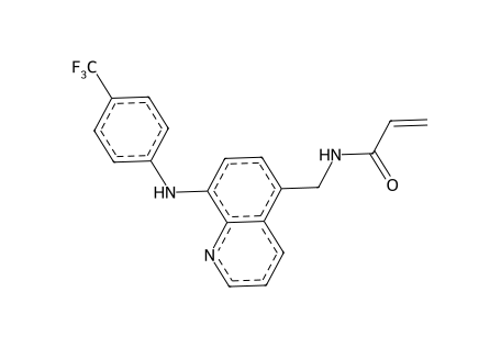 C=CC(=O)NCc1ccc(Nc2ccc(C(F)(F)F)cc2)c2ncccc12